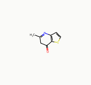 CC1=Nc2ccsc2C(=O)C1